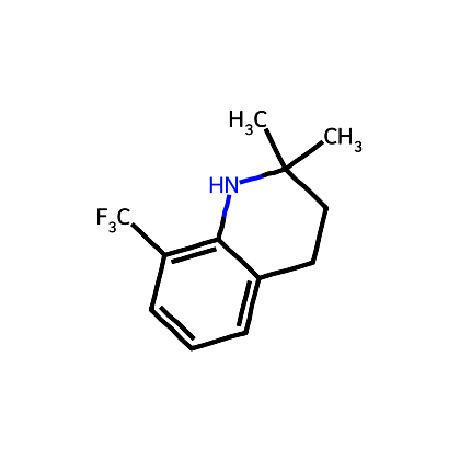 CC1(C)CCc2cccc(C(F)(F)F)c2N1